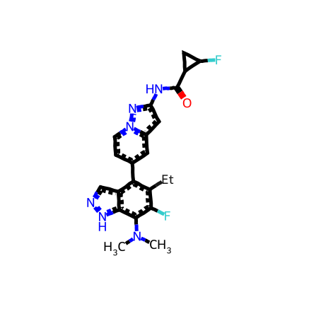 CCc1c(F)c(N(C)C)c2[nH]ncc2c1-c1ccn2nc(NC(=O)C3CC3F)cc2c1